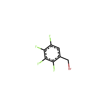 Fc1cc(CBr)c(F)c(F)c1F